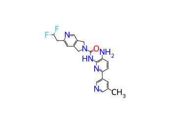 Cc1cncc(-c2ccc(N)c(NC(=O)N3Cc4cnc(CC(F)F)cc4C3)n2)c1